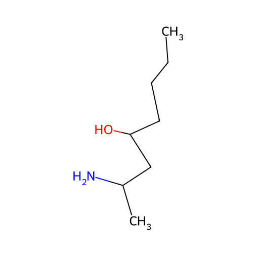 CCCCC(O)CC(C)N